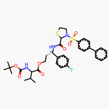 CC(C)C(NC(=O)OC(C)(C)C)C(=O)OCC[C@H](NC(=O)C1SCCN1S(=O)(=O)c1ccc(-c2ccccc2)cc1)c1ccc(F)cc1